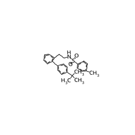 Cc1ccc(S(=O)(=O)NCCc2ccccc2-c2ccc(C(C)(C)C)cc2)cc1